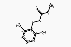 COC(=O)CCc1c(O)cccc1O